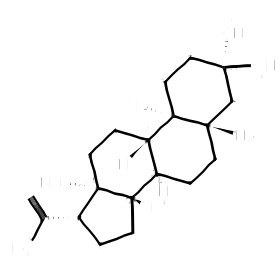 CC(=O)[C@H]1CC[C@H]2[C@@H]3CC[C@H]4C[C@](C)(O)CC[C@@H]4[C@H]3CC[C@]12C